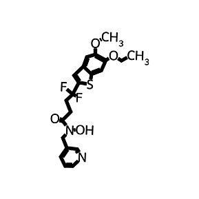 CCOc1cc2sc(C(F)(F)CCC(=O)N(O)Cc3cccnc3)cc2cc1OC